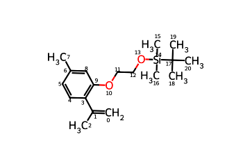 C=C(C)c1ccc(C)cc1OCCO[Si](C)(C)C(C)(C)C